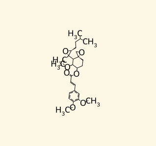 COc1ccc(/C=C/C(=O)O[C@@H]2CC[C@]3(CO3)C([C@]3(C)O[C@H]3CCC(C)C)[C@@H]2OC)cc1OC